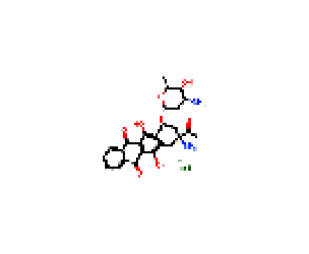 CC(=O)[C@]1(N)Cc2c(O)c3c(c(O)c2[C@@H](O[C@H]2C[C@H](N)[C@H](O)[C@H](C)O2)C1)C(=O)c1ccccc1C3=O.Cl.Cl